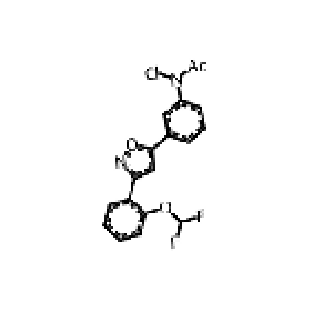 CC(=O)N(Cl)c1cccc(-c2cc(-c3ccccc3OC(F)F)no2)c1